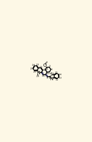 COC1CCCC(C(=C\c2nc3ccccc3s2)/C=C2\C=Cc3ccccc3N2C)C1